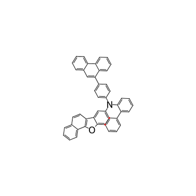 c1ccc(-c2ccccc2N(c2ccc(-c3cc4ccccc4c4ccccc34)cc2)c2ccc3oc4c5ccccc5ccc4c3c2)cc1